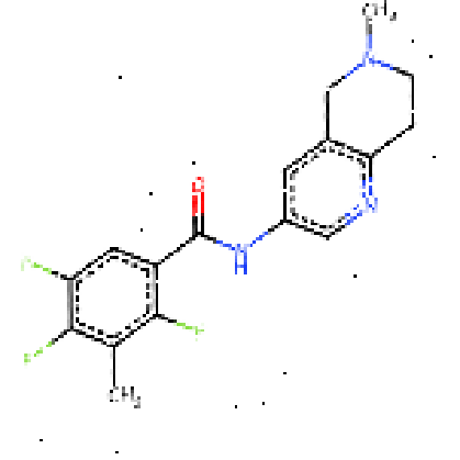 Cc1c(F)c(F)cc(C(=O)Nc2cnc3c(c2)CN(C)CC3)c1F